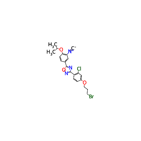 [C-]#[N+]c1cc(-c2nc(-c3ccc(OCCCBr)cc3Cl)no2)ccc1OC(C)C